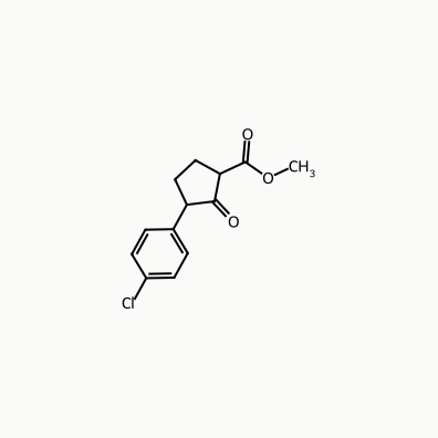 COC(=O)C1CCC(c2ccc(Cl)cc2)C1=O